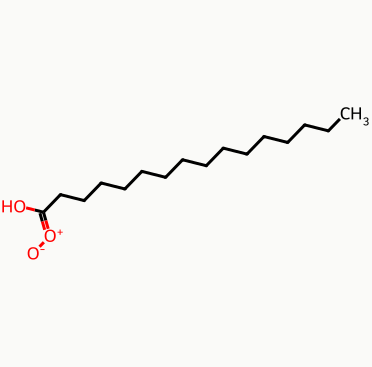 CCCCCCCCCCCCCCCC(O)=[O+][O-]